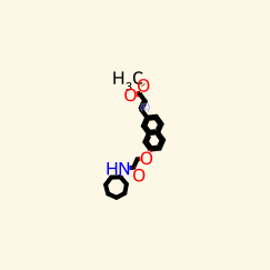 COC(=O)/C=C/c1ccc2ccc(OCC(=O)NC3CCCCCC3)cc2c1